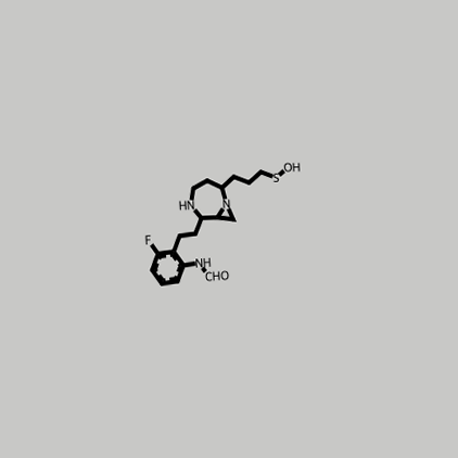 O=CNc1cccc(F)c1CCC1NCCC(CCCSO)N2CC12